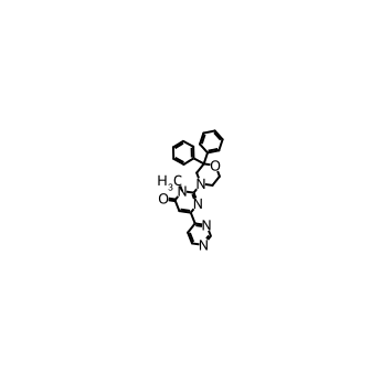 Cn1c(N2CCOC(c3ccccc3)(c3ccccc3)C2)nc(-c2ccncn2)cc1=O